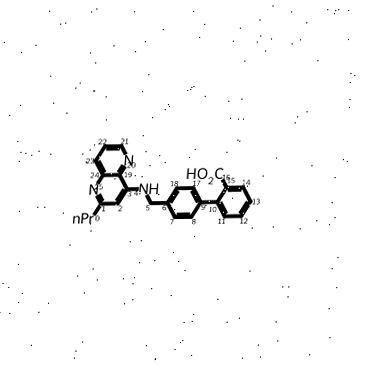 CCCc1cc(NCc2ccc(-c3ccccc3C(=O)O)cc2)c2ncccc2n1